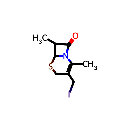 CC1=C(CI)CSC2C(C)C(=O)N12